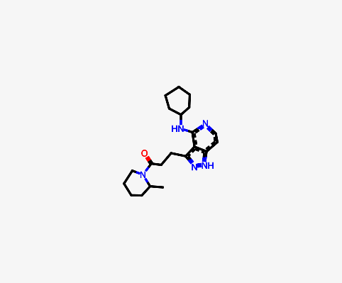 CC1CCCCN1C(=O)CCc1n[nH]c2ccnc(NC3CCCCC3)c12